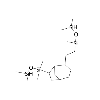 C[SiH](C)O[Si](C)(C)CCC1CCC2CC1C([Si](C)(C)O[SiH](C)C)C2